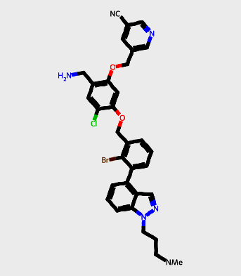 CNCCCn1ncc2c(-c3cccc(COc4cc(OCc5cncc(C#N)c5)c(CN)cc4Cl)c3Br)cccc21